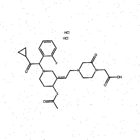 CC(=O)SC1CCN(C(C(=O)C2CC2)c2ccccc2F)C/C1=C\CN1CCN(CC(=O)O)C(=O)C1.Cl.Cl